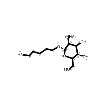 CC(=O)N[C@H]1C(O)[C@@H](O)C(CO)O[C@@H]1OCCCCCS